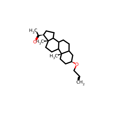 C=CCO[C@H]1CC[C@@]2(C)C(CCC3C2CC[C@@]2(C)C3CC[C@@H]2C(C)=O)C1